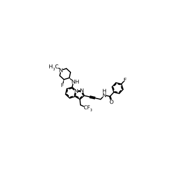 CN1CC[C@@H](Nc2cccc3c(CC(F)(F)F)c(C#CCNC(=O)c4ccc(F)cc4)nn23)[C@@H](F)C1